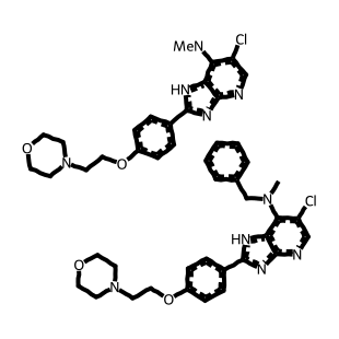 CN(Cc1ccccc1)c1c(Cl)cnc2nc(-c3ccc(OCCN4CCOCC4)cc3)[nH]c12.CNc1c(Cl)cnc2nc(-c3ccc(OCCN4CCOCC4)cc3)[nH]c12